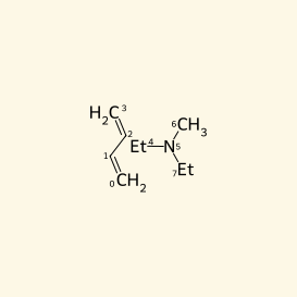 C=CC=C.CCN(C)CC